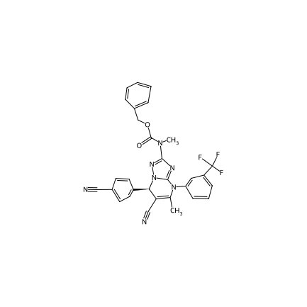 CC1=C(C#N)[C@@H](c2ccc(C#N)cc2)n2nc(N(C)C(=O)OCc3ccccc3)nc2N1c1cccc(C(F)(F)F)c1